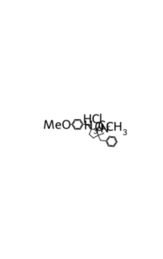 COc1ccc(/C=C2\CCC(Cc3ccccc3)(CN(C)C)C2=O)cc1.Cl